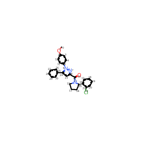 COc1ccc(-n2nc(C(=O)N3CCC[C@@H]3c3ccccc3Cl)cc2-c2ccccc2)cc1